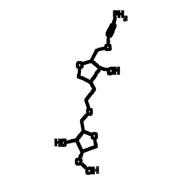 OOC1COC(COCCC2COC(COC#CP)C2O)C1O